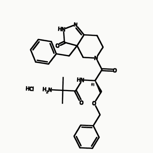 CC(C)(N)C(=O)N[C@H](COCc1ccccc1)C(=O)N1CCC2=NNC(=O)C2(Cc2ccccc2)C1.Cl